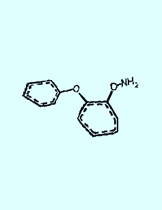 NOc1ccccc1Oc1ccccc1